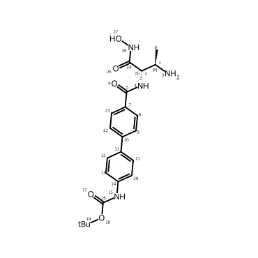 C[C@@H](N)[C@H](NC(=O)c1ccc(-c2ccc(NC(=O)OC(C)(C)C)cc2)cc1)C(=O)NO